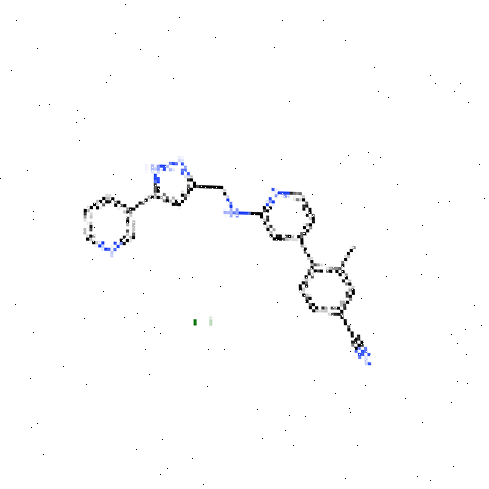 Cc1cc(C#N)ccc1-c1ccnc(NCc2cc(-c3cccnc3)[nH]n2)c1.Cl